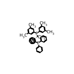 Cc1cc(C)cc(P(c2cc(C)cc(C)c2)C(C)[C@]23[CH]4[CH]5[CH]6[C]2(P(c2ccccc2)c2ccccc2)[Fe]56432789[CH]3[CH]2[CH]7[CH]8[CH]39)c1